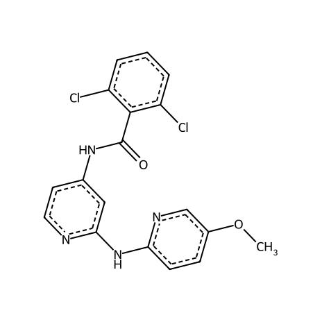 COc1ccc(Nc2cc(NC(=O)c3c(Cl)cccc3Cl)ccn2)nc1